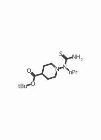 CCCN(C(N)=S)N1CCC(C(=O)OC(C)(C)C)CC1